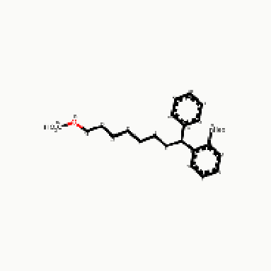 CCCCCCc1ccccc1C(CCCCCCCOC(=O)O)c1ccccc1